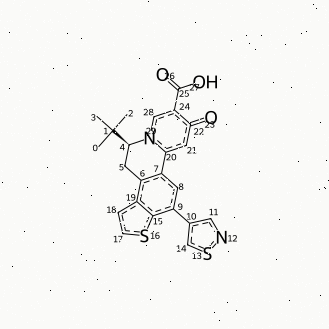 CC(C)(C)[C@@H]1Cc2c(cc(-c3cnsc3)c3sccc23)-c2cc(=O)c(C(=O)O)cn21